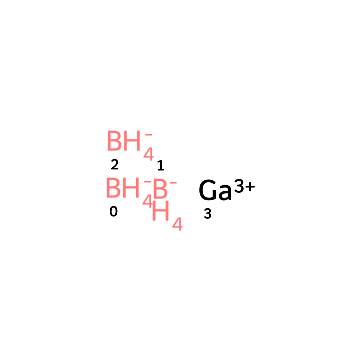 [BH4-].[BH4-].[BH4-].[Ga+3]